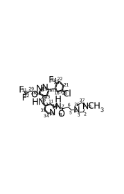 CN1CCN(CCC(=O)Nc2cc(Nc3cc(-c4cc(Cl)ccc4F)nnc3OCC(F)F)ccn2)CC1